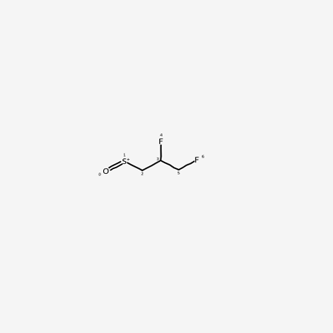 O=[S+]CC(F)CF